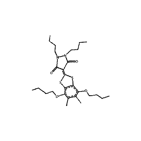 CCCCOc1c(C)c(C)c(OCCCC)c2c1SC(=C1C(=O)N(CCCC)N(CCCC)C1=O)S2